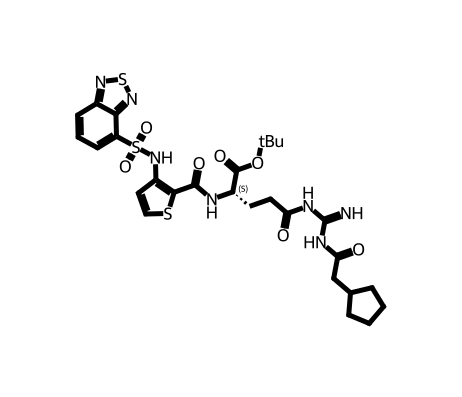 CC(C)(C)OC(=O)[C@H](CCC(=O)NC(=N)NC(=O)CC1CCCC1)NC(=O)c1sccc1NS(=O)(=O)c1cccc2nsnc12